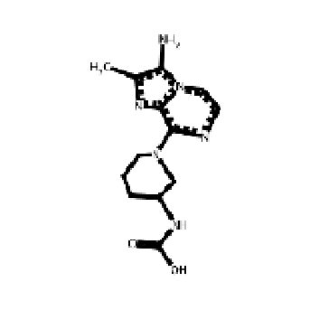 Cc1nc2c(N3CCCC(NC(=O)O)C3)nccn2c1N